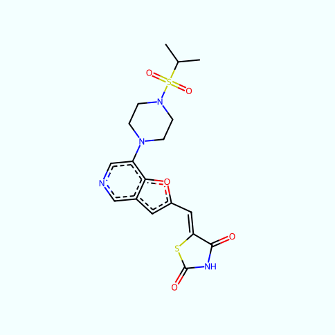 CC(C)S(=O)(=O)N1CCN(c2cncc3cc(/C=C4\SC(=O)NC4=O)oc23)CC1